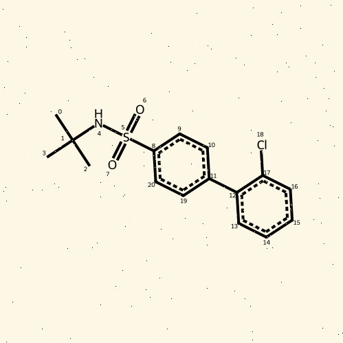 CC(C)(C)NS(=O)(=O)c1ccc(-c2ccccc2Cl)cc1